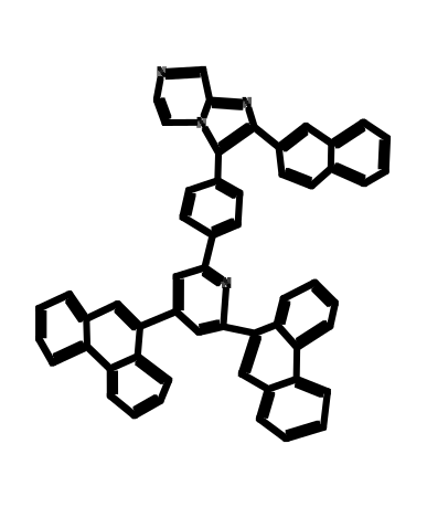 c1ccc2cc(-c3nc4cnccn4c3-c3ccc(-c4cc(-c5cc6ccccc6c6ccccc56)cc(-c5cc6ccccc6c6ccccc56)n4)cc3)ccc2c1